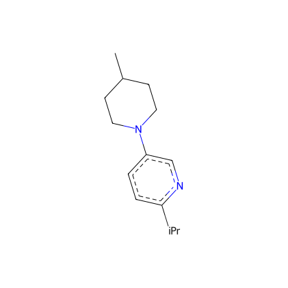 CC1CCN(c2ccc(C(C)C)nc2)CC1